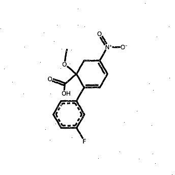 COC1(C(=O)O)CC([N+](=O)[O-])=CC=C1c1cccc(F)c1